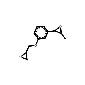 CC1OC1c1cccc(OCC2CO2)c1